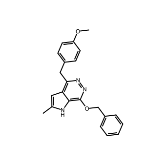 COc1ccc(Cc2nnc(OCc3ccccc3)c3[nH]c(C)cc23)cc1